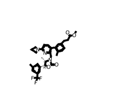 COC(=O)CCc1ccc(C)c(-c2ccc(N3CCC3)nc2CN2C(=O)O[C@H](c3cc(C)cc(C(F)(F)F)c3)[C@@H]2C)c1